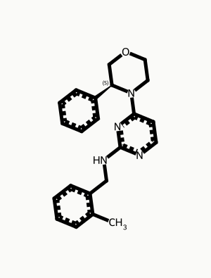 Cc1ccccc1CNc1nccc(N2CCOC[C@@H]2c2ccccc2)n1